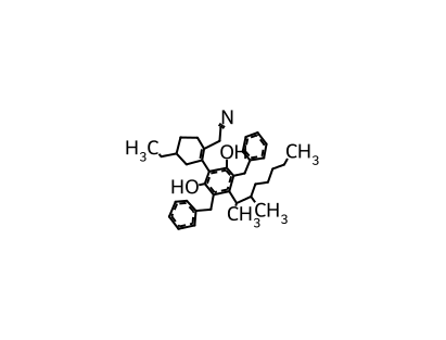 CCCCCC(C)C(C)c1c(Cc2ccccc2)c(O)c(C2=C(CC#N)CCC(CC)C2)c(O)c1Cc1ccccc1